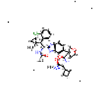 CCNC(=O)[C@H](NC(=O)C1(c2ccc3nc([C@@H](NC(=O)CC)[C@H](c4ccccc4Cl)C4(C)CC4)[nH]c3c2)CCOC1)C1CCC1